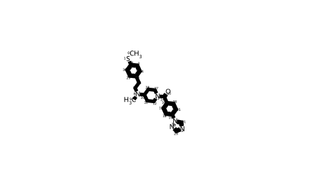 CSc1ccc(CCN(C)C2CCN(C(=O)c3ccc(-n4cncn4)cc3)CC2)cc1